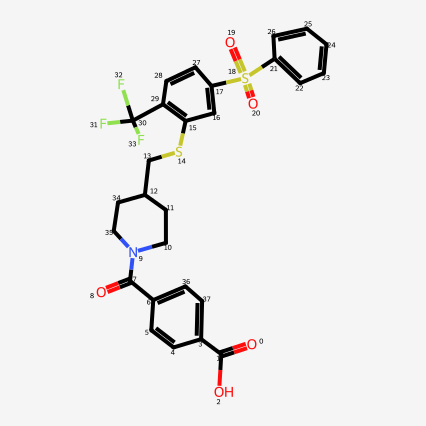 O=C(O)c1ccc(C(=O)N2CCC(CSc3cc(S(=O)(=O)c4ccccc4)ccc3C(F)(F)F)CC2)cc1